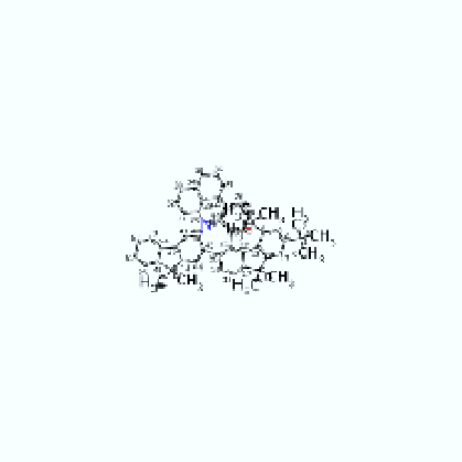 CC(C)(C)c1cc(C(C)(C)C)c2c(c1)C(C)(C)c1ccc3c(c1-2)-c1ccccc1N(c1cccc2ccccc12)c1cc2c(cc1-3)C(C)(C)c1ccccc1-2